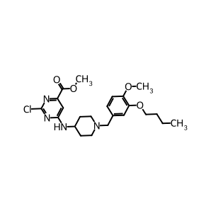 CCCCOc1cc(CN2CCC(Nc3cc(C(=O)OC)nc(Cl)n3)CC2)ccc1OC